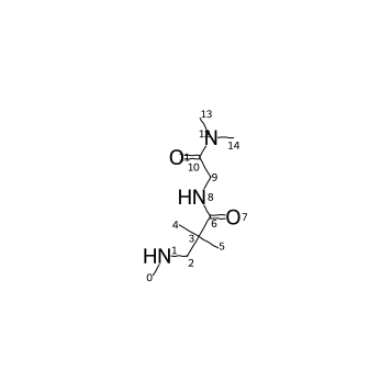 CNCC(C)(C)C(=O)NCC(=O)N(C)C